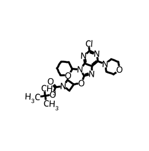 CC(C)(C)OC(=O)N1CC(Oc2nc3c(N4CCOCC4)nc(Cl)nc3n2C2CCCCO2)C1